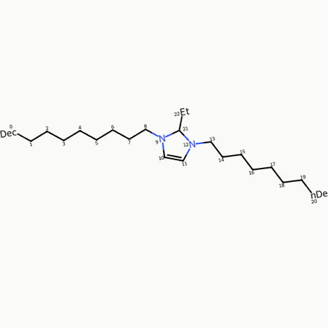 CCCCCCCCCCCCCCCCCCN1C=CN(CCCCCCCCCCCCCCCCC)C1CC